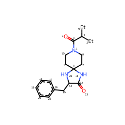 CCC(CC)C(=O)N1CCC2(CC1)NC(=O)C(Cc1ccccc1)N2